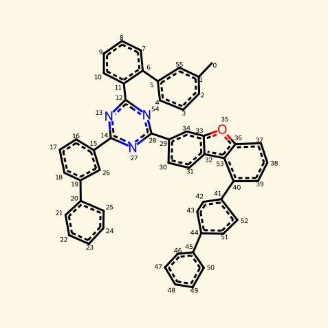 Cc1cccc(-c2ccccc2-c2nc(-c3cccc(-c4ccccc4)c3)nc(-c3ccc4c(c3)oc3cccc(-c5ccc(-c6ccccc6)cc5)c34)n2)c1